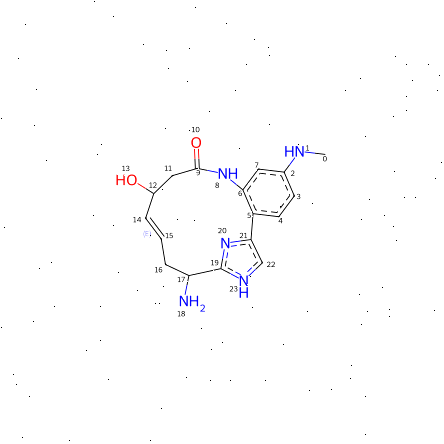 CNc1ccc2c(c1)NC(=O)CC(O)/C=C/CC(N)c1nc-2c[nH]1